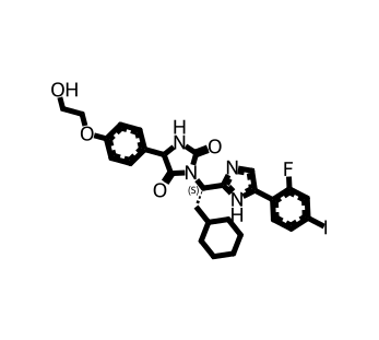 O=C1NC(c2ccc(OCCO)cc2)C(=O)N1[C@@H](CC1CCCCC1)c1ncc(-c2ccc(I)cc2F)[nH]1